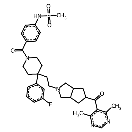 Cc1ncnc(C)c1C(=O)C1CC2CN(CCC3(c4cccc(F)c4)CCN(C(=O)c4ccc(NS(C)(=O)=O)cc4)CC3)CC2C1